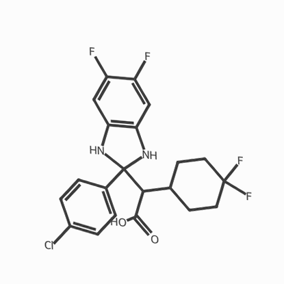 O=C(O)C(C1CCC(F)(F)CC1)C1(c2ccc(Cl)cc2)Nc2cc(F)c(F)cc2N1